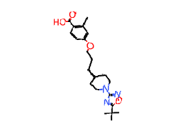 Cc1cc(OCCCC2CCN(c3noc(C(C)(C)C)n3)CC2)ccc1C(=O)O